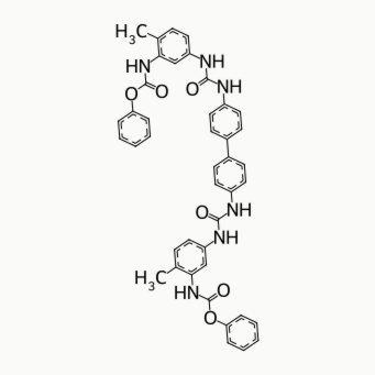 Cc1ccc(NC(=O)Nc2ccc(-c3ccc(NC(=O)Nc4ccc(C)c(NC(=O)Oc5ccccc5)c4)cc3)cc2)cc1NC(=O)Oc1ccccc1